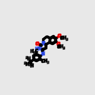 [2H]C([2H])([2H])c1cc(C)c(N=c2cc3n(c(=O)[nH]2)CCc2cc(OC)c(OC)cc2-3)c(C)c1